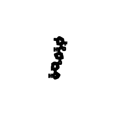 Cc1ccc(F)c(C(=O)Nc2ccc(Oc3ccnc(-c4ccc[nH]4)c3)cc2)c1